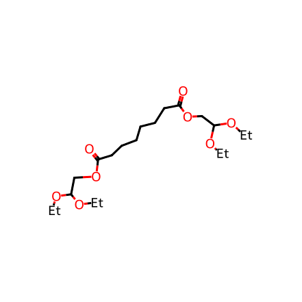 CCOC(COC(=O)CCCCCCC(=O)OCC(OCC)OCC)OCC